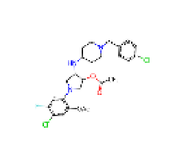 CC(=O)Oc1cc(Cl)c(F)cc1N1CC(NC2CCN(Cc3ccc(Cl)cc3)CC2)C(OC(=O)C(F)(F)F)C1